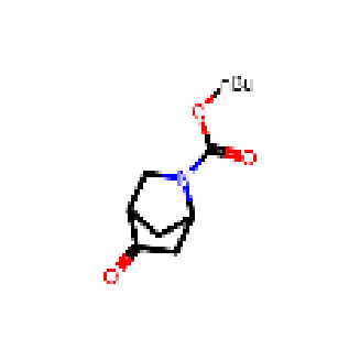 CCCCOC(=O)N1CC2CC1CC2=O